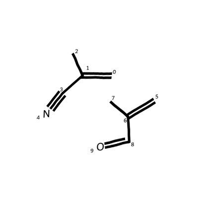 C=C(C)C#N.C=C(C)C=O